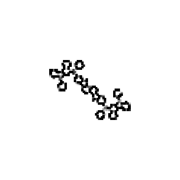 c1ccc(N(c2ccc3c(c2)sc2c3ccc3c2ccc2c4ccc(N(c5ccccc5)c5cc6c(c7ccccc57)c5ccccc5n6-c5ccccc5)cc4sc23)c2cc3c(c4ccccc24)c2ccccc2n3-c2ccccc2)cc1